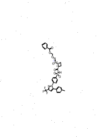 Cc1ccc(-c2cc(C(F)(F)F)nn2-c2ccc(S(=O)(=O)NC(=O)[C@@H]3CCN3/[N+]([O-])=N/OCOC(=O)c3ccccc3)cc2)cc1